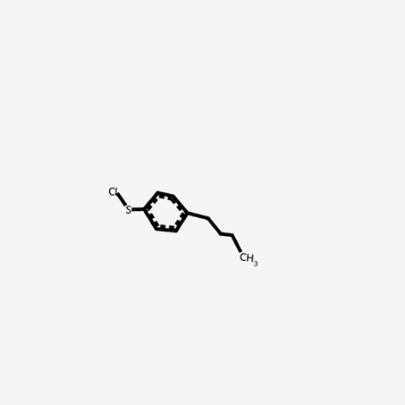 CCCCc1ccc(SCl)cc1